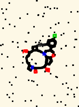 CCCc1cc(Cl)ccc1C1COc2ccc3cc2N(C1)CC1CCC1C(O)/C=C/CC1CCN1C(=O)C[C@@H]3O